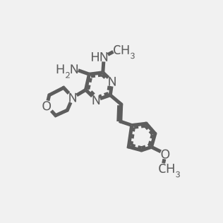 CNc1nc(C=Cc2ccc(OC)cc2)nc(N2CCOCC2)c1N